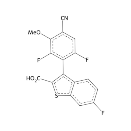 COc1c(C#N)cc(F)c(-c2c(C(=O)O)sc3cc(F)ccc23)c1F